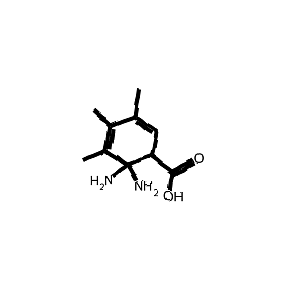 CC1=CC(C(=O)O)C(N)(N)C(C)=C1C